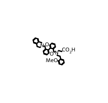 COc1ccccc1CCN(CCC(=O)O)C(=O)c1ccccc1-c1ccccc1C(=O)N1CCc2ccccc2C1